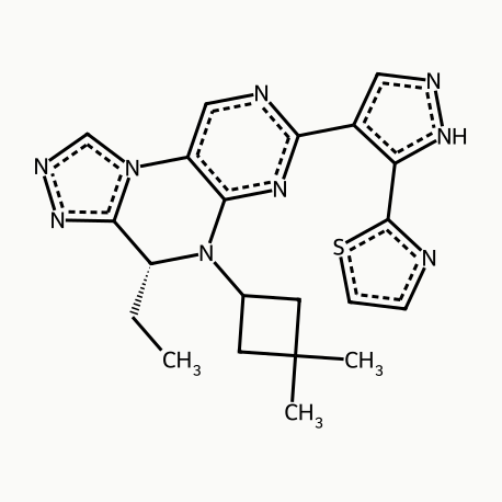 CC[C@@H]1c2nncn2-c2cnc(-c3cn[nH]c3-c3nccs3)nc2N1C1CC(C)(C)C1